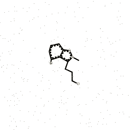 Cn1nc2cccc(Br)c2c1CCCCl